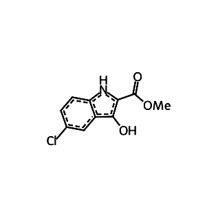 COC(=O)c1[nH]c2ccc(Cl)cc2c1O